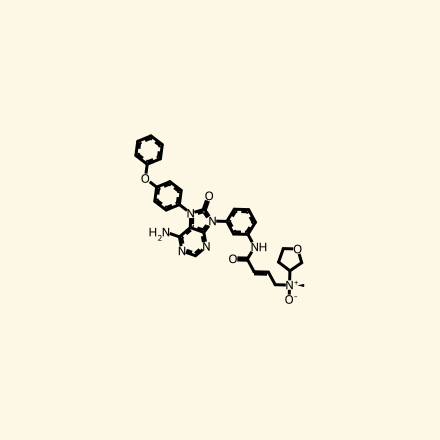 C[N@@+]([O-])(C/C=C/C(=O)Nc1cccc(-n2c(=O)n(-c3ccc(Oc4ccccc4)cc3)c3c(N)ncnc32)c1)C1CCOC1